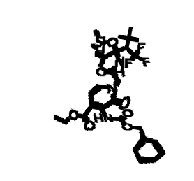 CCOC(=O)c1ccn(CC(=O)NC(O[SiH](C)C)(C(C)C)C(C(C)(C)C)C(F)(F)F)c(=O)c1NC(=O)OCc1ccccc1